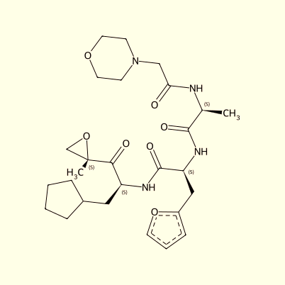 C[C@H](NC(=O)CN1CCOCC1)C(=O)N[C@@H](Cc1ccco1)C(=O)N[C@@H](CC1CCCC1)C(=O)[C@]1(C)CO1